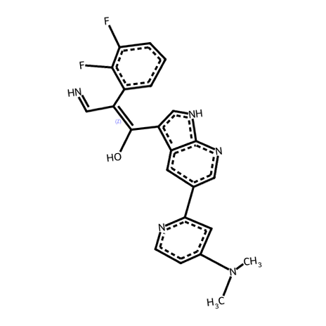 CN(C)c1ccnc(-c2cnc3[nH]cc(/C(O)=C(/C=N)c4cccc(F)c4F)c3c2)c1